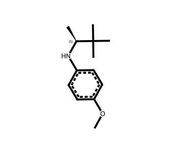 COc1ccc(N[C@@H](C)C(C)(C)C)cc1